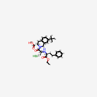 Br.CCOC(=O)[C@H](CCc1ccccc1)N[C@@H](C)C(=O)N1Cc2cc(C(C)(C)C)ccc2C[C@H]1C(=O)O